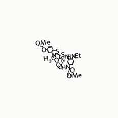 CCNc1ccc(NC(=O)COC)cc1N=C1S/C(=C2\Sc3ccc(OCCOC)cc3N2C)C(=O)N1Cc1ccco1